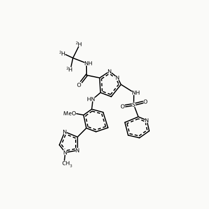 [2H]C([2H])([2H])NC(=O)c1nnc(NS(=O)(=O)c2ccccn2)cc1Nc1cccc(-c2ncn(C)n2)c1OC